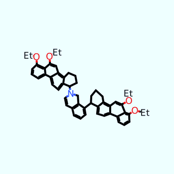 CCOc1cccc2c1c(OCC)cc1c3c(ccc12)C(c1cccc2c1CN(C1CCCc4c1ccc1c4cc(OCC)c4c(OCC)cccc41)C=C2)CCC3